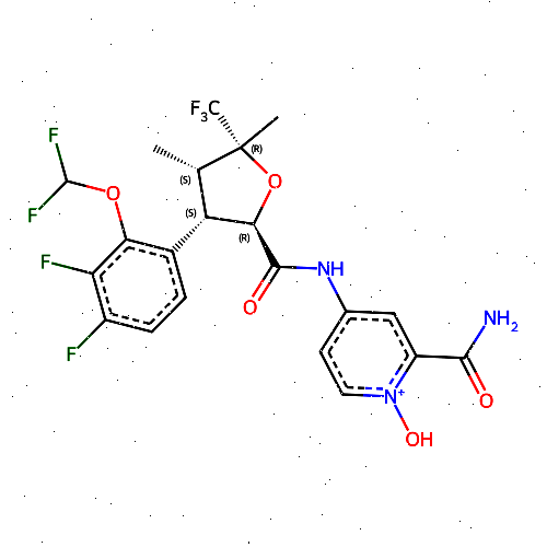 C[C@H]1[C@@H](c2ccc(F)c(F)c2OC(F)F)[C@H](C(=O)Nc2cc[n+](O)c(C(N)=O)c2)O[C@@]1(C)C(F)(F)F